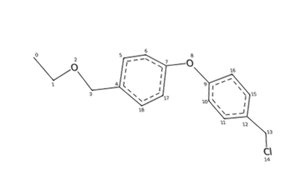 CCOCc1ccc(Oc2ccc(CCl)cc2)cc1